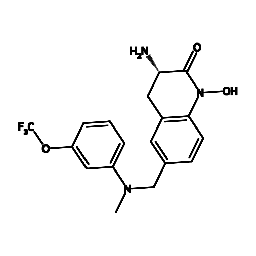 CN(Cc1ccc2c(c1)C[C@H](N)C(=O)N2O)c1cccc(OC(F)(F)F)c1